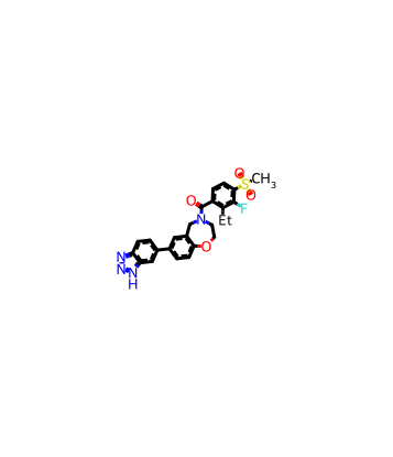 CCc1c(C(=O)N2CCOc3ccc(-c4ccc5nn[nH]c5c4)cc3C2)ccc(S(C)(=O)=O)c1F